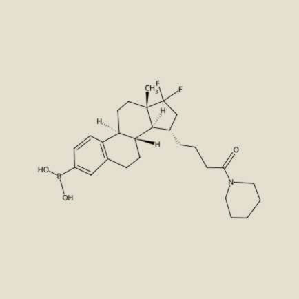 C[C@]12CC[C@@H]3c4ccc(B(O)O)cc4CC[C@H]3[C@@H]1[C@@H](CCCC(=O)N1CCCCC1)CC2(F)F